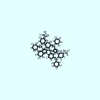 C[Si](C)(C)c1ccc(N(c2ccccc2)c2ccc3c(c2)C2(c4ccccc4N(c4ccccc4)c4ccccc42)c2cc(N(c4ccccc4)c4ccc([Si](C)(C)C)cc4)c4ccccc4c2-3)cc1